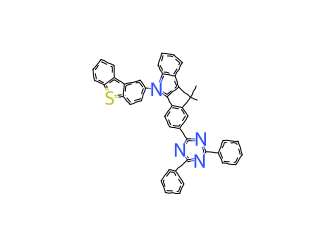 CC1(C)c2cc(-c3nc(-c4ccccc4)nc(-c4ccccc4)n3)ccc2-c2c1c1ccccc1n2-c1ccc2sc3ccccc3c2c1